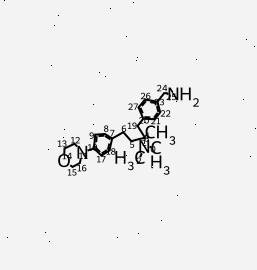 CN(C)C(C)(CCc1ccc(N2CCOCC2)cc1)Cc1ccc(CN)cc1